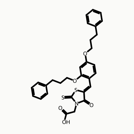 O=C(O)CN1C(=O)C(=Cc2ccc(OCCCc3ccccc3)cc2OCCCc2ccccc2)SC1=S